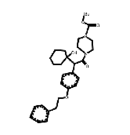 CC(C)(C)OC(=O)N1CCN(C(=O)C(c2ccc(OCCc3ccccc3)cc2)C2(O)CCCCC2)CC1